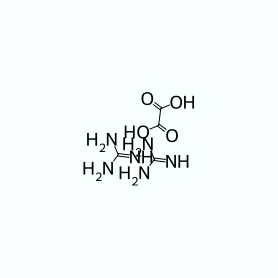 N=C(N)N.N=C(N)N.O=C(O)C(=O)O